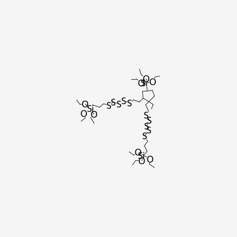 CCO[Si](CCCSSSSSCCC1CC([Si](OCC)(OCC)OCC)CCC1(CC)CCSSSSSCCC[Si](OCC)(OCC)OCC)(OCC)OCC